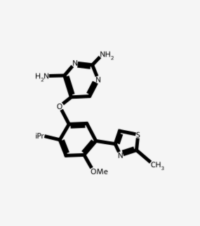 COc1cc(C(C)C)c(Oc2cnc(N)nc2N)cc1-c1csc(C)n1